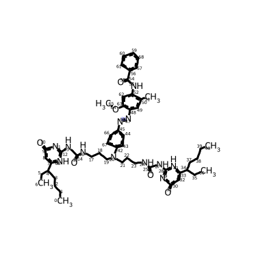 CCCCC(CC)c1cc(=O)nc(NC(=O)NCCCN(CCCNC(=O)Nc2nc(=O)cc(C(CC)CCCC)[nH]2)c2ccc(/N=N/c3cc(C)c(NC(=O)c4ccccc4)cc3OC)cc2)[nH]1